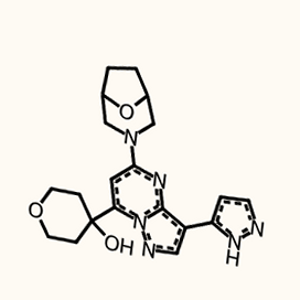 OC1(c2cc(N3CC4CCC(C3)O4)nc3c(-c4ccn[nH]4)cnn23)CCOCC1